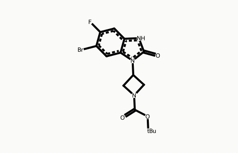 CC(C)(C)OC(=O)N1CC(n2c(=O)[nH]c3cc(F)c(Br)cc32)C1